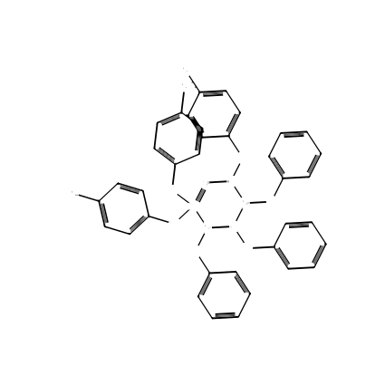 O=[N+]([O-])c1ccc(OP2N=P(Oc3ccc([N+](=O)[O-])cc3)(Oc3ccc([N+](=O)[O-])cc3)N(Oc3ccccc3)P(Oc3ccccc3)N2Oc2ccccc2)cc1